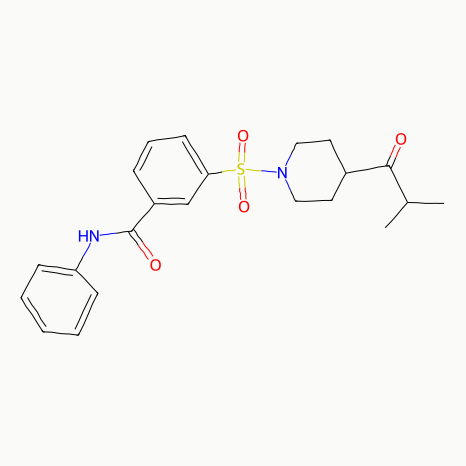 CC(C)C(=O)C1CCN(S(=O)(=O)c2cccc(C(=O)Nc3ccccc3)c2)CC1